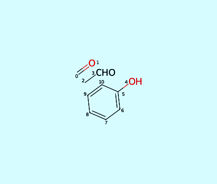 C=O.CC=O.Oc1ccccc1